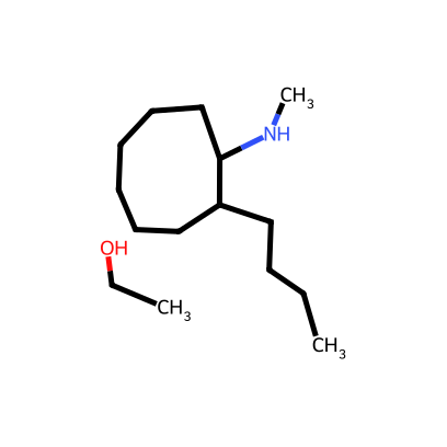 CCCCC1CCCCCCC1NC.CCO